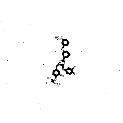 CC(C)(Oc1ccc(Cn2nc(-c3cccc(Oc4cccc(C(=O)O)c4)c3)sc2=Nc2ccc(Cl)c(Cl)c2)cc1Br)C(=O)O